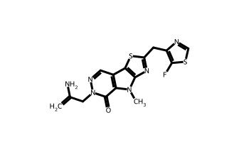 C=C(N)Cn1ncc2c3sc(Cc4ncsc4F)nc3n(C)c2c1=O